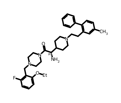 CCOc1cccc(F)c1CN1CCN(C(=O)[C@H](N)C2CCN(CCc3cc(C)ccc3-c3ccccc3)CC2)CC1